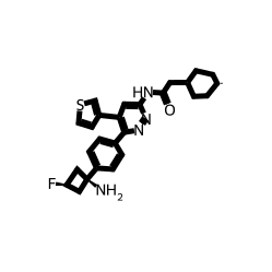 N[C@]1(c2ccc(-c3nnc(NC(=O)CC4CC[CH]CC4)cc3-c3ccsc3)cc2)C[C@H](F)C1